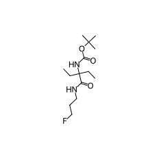 CCC(CC)(NC(=O)OC(C)(C)C)C(=O)NCCCF